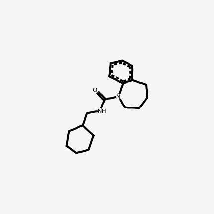 O=C(NCC1CCCCC1)N1CCCCc2ccccc21